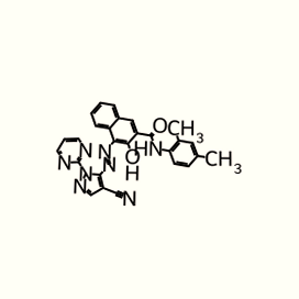 Cc1ccc(NC(=O)c2cc3ccccc3c(/N=N/c3c(C#N)cnn3-c3ncccn3)c2O)c(C)c1